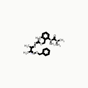 CCC(=NN=C(C)/C(C)=N\OCc1ccccc1)OCc1c(C)cccc1N(N)C(=O)N(C)N